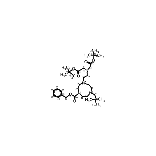 CC(C)(C)CN1CCN(CCN(CC(=O)OC(C)(C)C)CC(=O)OC(C)(C)C)CCN(C(=O)OCc2ccccc2)CC1